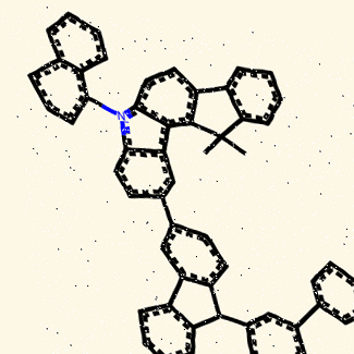 CC1(C)c2ccccc2-c2ccc3c(c21)c1cc(-c2ccc4c(c2)-c2ccccc2C4c2cccc(-c4ccccc4)c2)ccc1n3-c1cccc2ccccc12